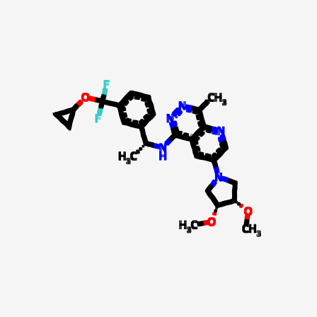 CO[C@H]1CN(c2cnc3c(C)nnc(N[C@H](C)c4cccc(C(F)(F)OC5CC5)c4)c3c2)C[C@H]1OC